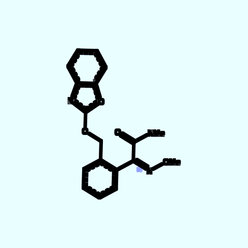 CNC(=O)/C(=N\OC)c1ccccc1COc1nc2ccccc2o1